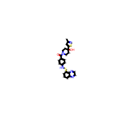 Cc1cc(C2(O)CCN(C(=O)c3ccc(NSc4cccc5nccnc45)cc3)CC2)sn1